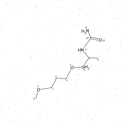 COCCCO[SiH2]C(C)NC(N)=O